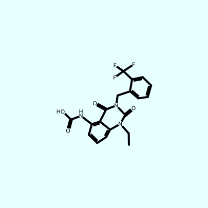 CCn1c(=O)n(Cc2ccccc2C(F)(F)F)c(=O)c2c(NC(=O)O)cccc21